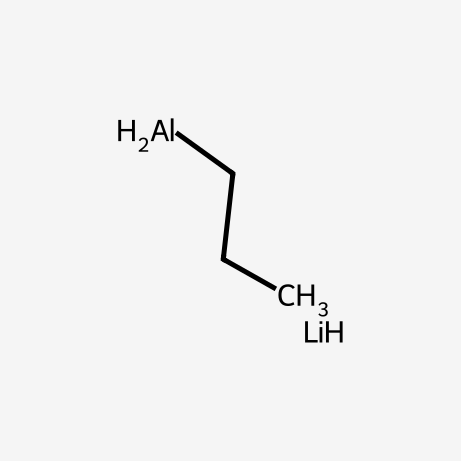 CC[CH2][AlH2].[LiH]